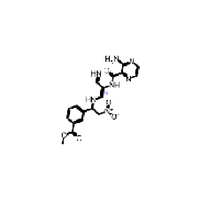 COC(=O)c1cccc(C(C[N+](=O)[O-])N/C=C(\C=N)NC(=O)c2nccnc2N)c1